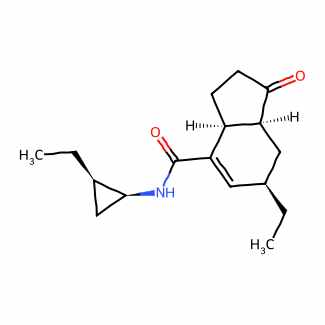 CC[C@H]1C=C(C(=O)N[C@H]2C[C@H]2CC)[C@H]2CCC(=O)[C@H]2C1